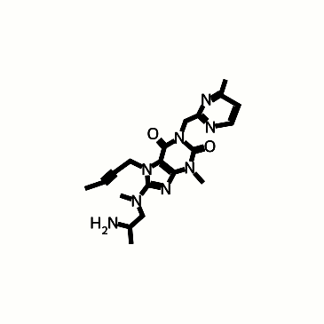 CC#CCn1c(N(C)CC(C)N)nc2c1c(=O)n(Cc1nccc(C)n1)c(=O)n2C